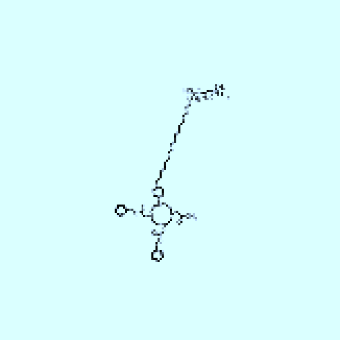 CC(=O)CN1CCN(CC(=O)OCc2ccccc2)CCN(CC(=O)OCc2ccccc2)CCN(c2ccc(CCCCCCCCCCCCCCCCCCOP(=O)(O)OCC[N+](C)(C)C)cc2)CC1